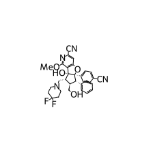 COc1nc(C#N)cc2c1[C@]1(O)[C@@H](CN3CCC(F)(F)CC3)[C@H](CO)[C@@H](c3ccccc3)[C@]1(c1ccc(C#N)cc1)O2